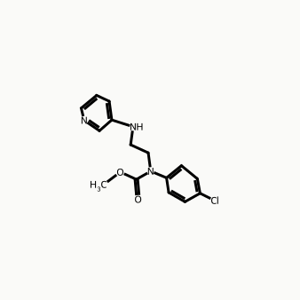 COC(=O)N(CCNc1cccnc1)c1ccc(Cl)cc1